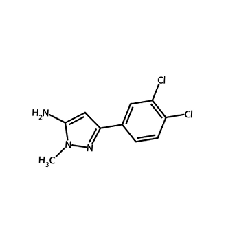 Cn1nc(-c2ccc(Cl)c(Cl)c2)cc1N